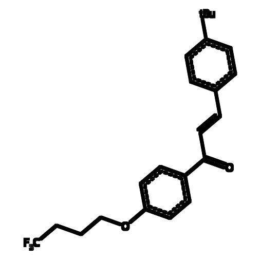 CC(C)(C)c1ccc(C=CC(=O)c2ccc(OCCCC(F)(F)F)cc2)cc1